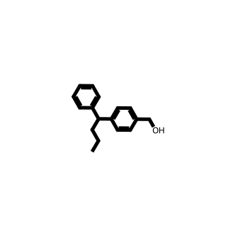 CCCC(c1ccccc1)c1ccc(CO)cc1